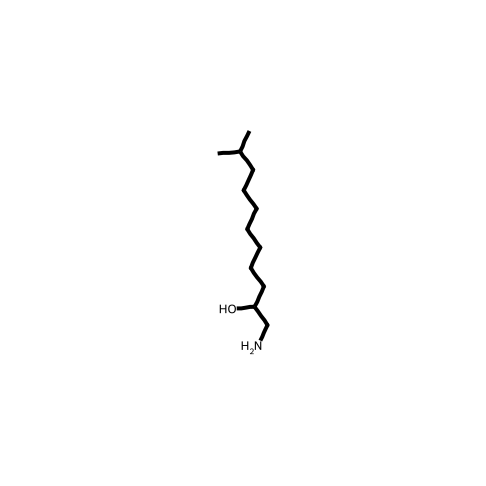 CC(C)CCCCCCCC(O)CN